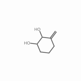 C=C1CCCC(O)C1O